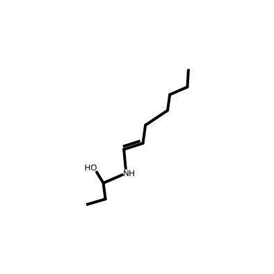 CCCCCC=CNC(O)CC